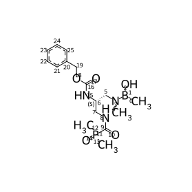 CB(O)N(C)C[C@H](CNC(=O)P(C)(C)=O)NC(=O)OCc1ccccc1